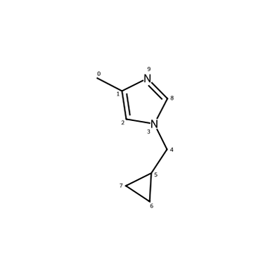 Cc1cn(CC2CC2)cn1